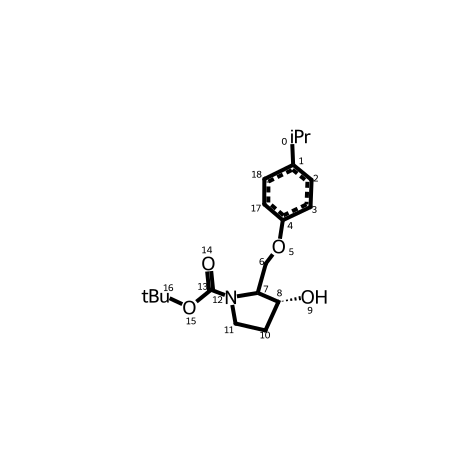 CC(C)c1ccc(OCC2[C@H](O)CCN2C(=O)OC(C)(C)C)cc1